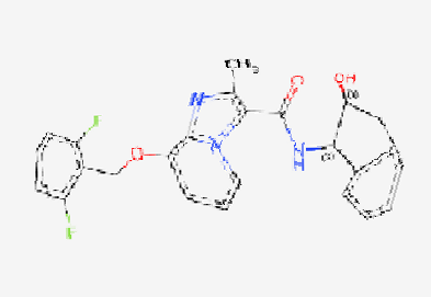 Cc1nc2c(OCc3c(F)cccc3F)cccn2c1C(=O)N[C@@H]1c2ccccc2C[C@@H]1O